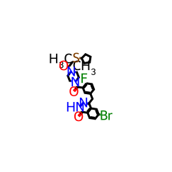 CC(C)(SC1CCCC1)C(=O)N1CCN(C(=O)c2cc(Cc3n[nH]c(=O)c4ccc(Br)cc34)ccc2F)CC1